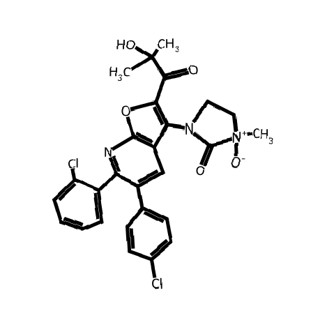 CC(C)(O)C(=O)c1oc2nc(-c3ccccc3Cl)c(-c3ccc(Cl)cc3)cc2c1N1CC[N+](C)([O-])C1=O